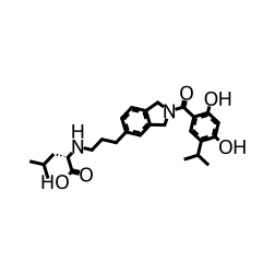 CC(C)C[C@H](NCCCc1ccc2c(c1)CN(C(=O)c1cc(C(C)C)c(O)cc1O)C2)C(=O)O